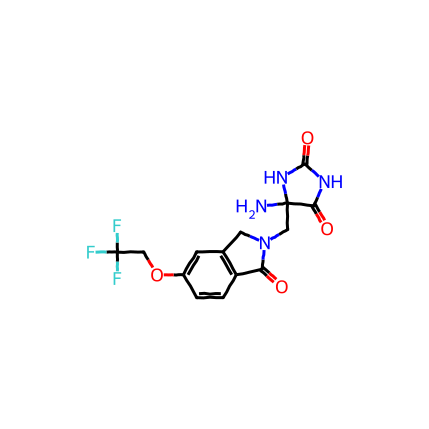 NC1(CN2Cc3cc(OCC(F)(F)F)ccc3C2=O)NC(=O)NC1=O